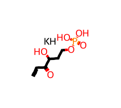 C=CC(=O)C(O)CCOP(=O)(O)O.[KH]